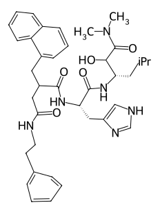 CC(C)C[C@H](NC(=O)[C@H](Cc1c[nH]cn1)NC(=O)C(CC(=O)NCCc1ccccc1)Cc1cccc2ccccc12)C(O)C(=O)N(C)C